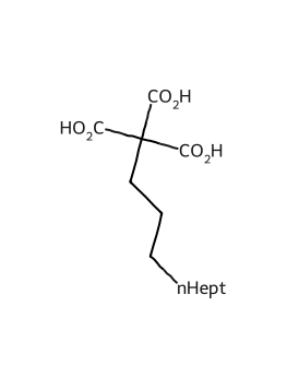 CCCCCCCCCCC(C(=O)O)(C(=O)O)C(=O)O